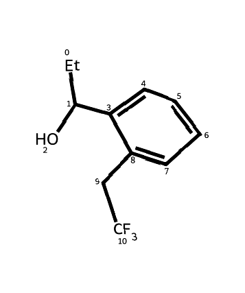 CCC(O)c1ccccc1CC(F)(F)F